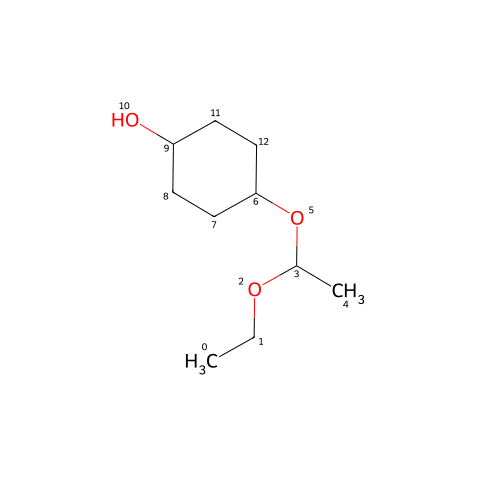 CCOC(C)OC1CCC(O)CC1